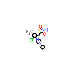 O=C1NC(=O)C(=Cc2cc(C(F)(F)F)cc(Cl)c2N2CCN(C3CCCC3)CC2)S1